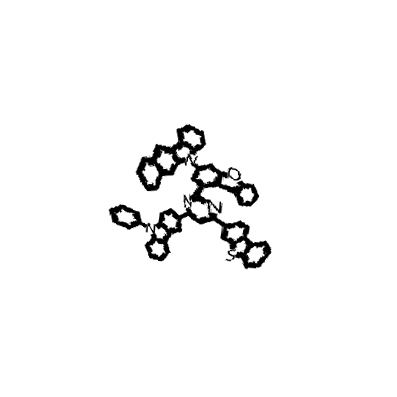 c1ccc(-n2c3ccccc3c3cc(-c4cc(-c5ccc6c(c5)sc5ccccc56)nc(-c5cc(-n6c7ccccc7c7cc8ccccc8cc76)cc6oc7ccccc7c56)n4)ccc32)cc1